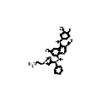 N#Cc1cnc2c(N[C@@H](c3ccccc3)c3cn(CCN)nn3)cc(Cl)cc2c1Nc1ccc(F)c(Cl)c1